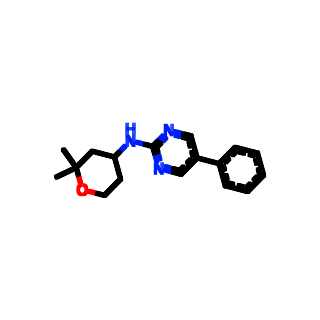 CC1(C)CC(Nc2ncc(-c3ccccc3)cn2)CCO1